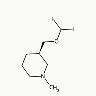 CN1CCC[C@@H](COC(I)I)C1